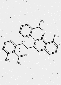 CC(=N)c1c(N)ncnc1NCc1cc2cccc(C)c2c(=O)n1-c1ccccc1C(C)C